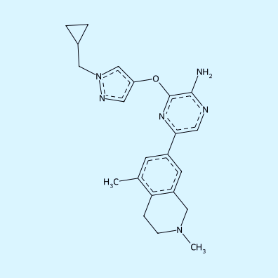 Cc1cc(-c2cnc(N)c(Oc3cnn(CC4CC4)c3)n2)cc2c1CCN(C)C2